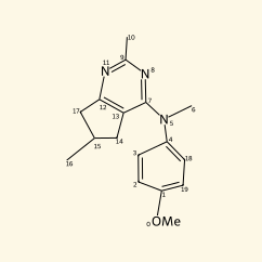 COc1ccc(N(C)c2nc(C)nc3c2CC(C)C3)cc1